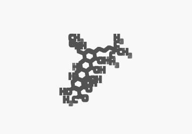 CONCC1C=C(CCCC(C)(C)C)C(O)C2C(O)C3C(O)[C@]4(O)C(=O)C(C(C)=O)=C(O)C[C@@H]4C[C@@H]3CC12